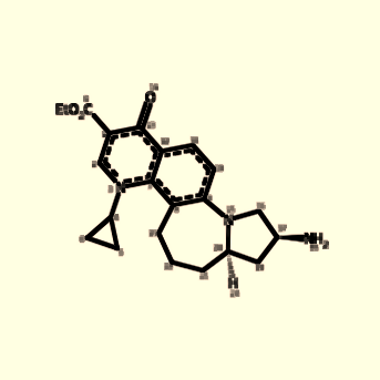 CCOC(=O)c1cn(C2CC2)c2c3c(ccc2c1=O)N1C[C@@H](N)C[C@H]1CCC3